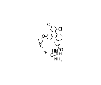 NC(=O)NNC(=O)c1ccc2c(c1)CCCC(c1ccc(Cl)cc1Cl)=C2c1ccc(OC2CCN(CCCF)C2)cc1